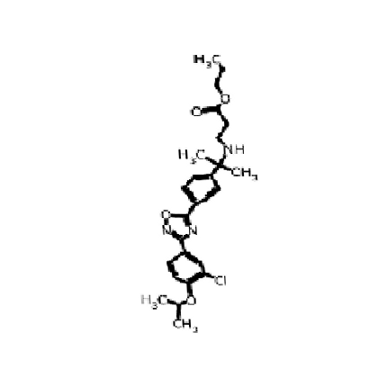 CCCOC(=O)CCNC(C)(C)c1ccc(-c2nc(-c3ccc(OC(C)C)c(Cl)c3)no2)cc1